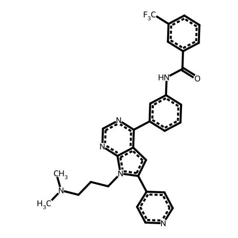 CN(C)CCCn1c(-c2ccncc2)cc2c(-c3cccc(NC(=O)c4cccc(C(F)(F)F)c4)c3)ncnc21